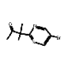 CC(=O)C(C)(C)c1ncc(Br)cn1